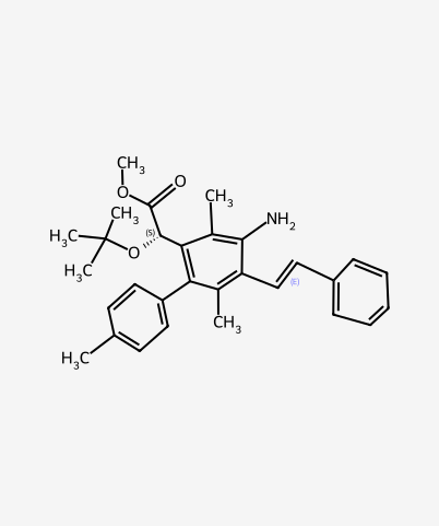 COC(=O)[C@@H](OC(C)(C)C)c1c(C)c(N)c(/C=C/c2ccccc2)c(C)c1-c1ccc(C)cc1